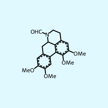 COc1cc2c(cc1OC)-c1c(OC)c(OC)cc3c1C(C2)N(C=O)CC3